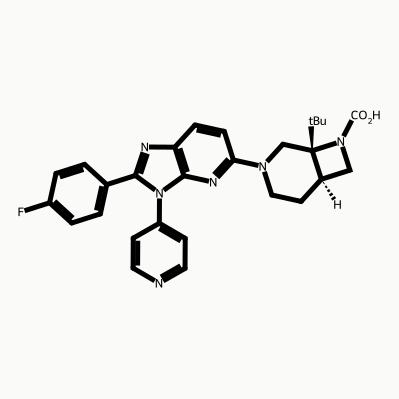 CC(C)(C)[C@]12CN(c3ccc4nc(-c5ccc(F)cc5)n(-c5ccncc5)c4n3)CC[C@@H]1CN2C(=O)O